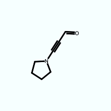 O=CC#CN1CCCC1